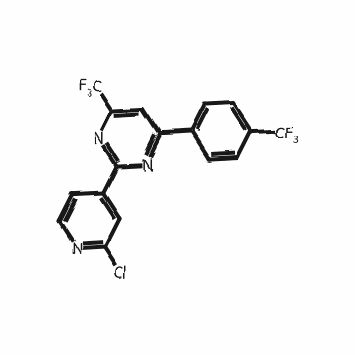 FC(F)(F)c1ccc(-c2cc(C(F)(F)F)nc(-c3ccnc(Cl)c3)n2)cc1